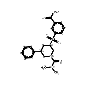 COC(=O)c1cccc(S(=O)(=O)[C@@H]2C[C@H](c3ccccc3)CN(C(=O)N(C)C)C2)c1